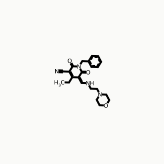 CCC1=C(C#N)C(=O)N(Cc2ccccc2)C(=O)/C1=C\NCCN1CCOCC1